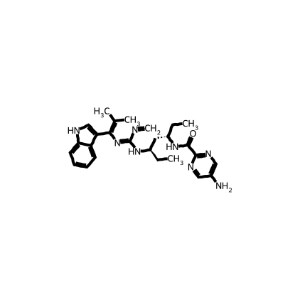 C=N/C(=N\C(=C(C)C)c1c[nH]c2ccccc12)N[C@H](CC)C[C@H](CC)NC(=O)c1ncc(N)cn1